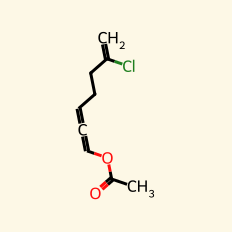 C=C(Cl)CCC=C=COC(C)=O